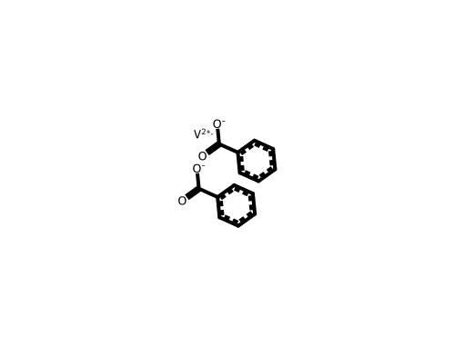 O=C([O-])c1ccccc1.O=C([O-])c1ccccc1.[V+2]